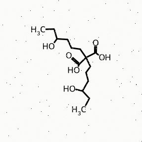 CCC(O)CCCC(CCCC(O)CC)(C(=O)O)C(=O)O